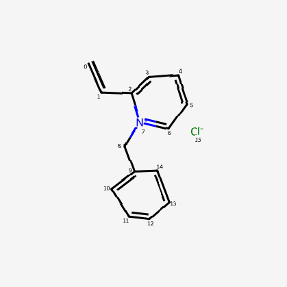 C=Cc1cccc[n+]1Cc1ccccc1.[Cl-]